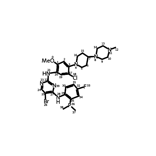 COc1cc(N2CCC(N3CCN(C)CC3)CC2)c(Cl)cc1Nc1ncc(Br)c(Nc2ccc(F)cc2P(C)C)n1